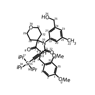 COc1ccc(CNC(=O)C2(N(C(=O)C#C[Si](C(C)C)(C(C)C)C(C)C)c3cc(C)cc(CO)c3)CCOCC2)c(OC)c1